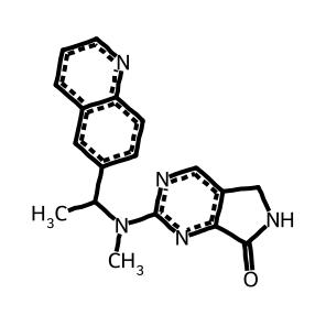 CC(c1ccc2ncccc2c1)N(C)c1ncc2c(n1)C(=O)NC2